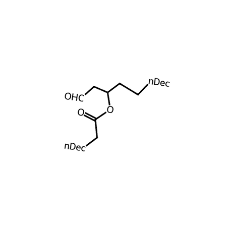 CCCCCCCCCCCCC(CC=O)OC(=O)CCCCCCCCCCC